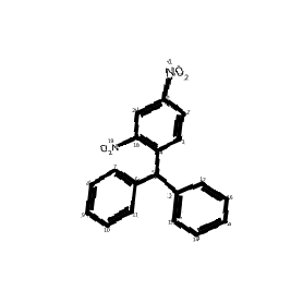 O=[N+]([O-])c1ccc([C](c2ccccc2)c2ccccc2)c([N+](=O)[O-])c1